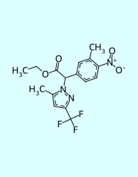 CCOC(=O)C(c1ccc([N+](=O)[O-])c(C)c1)n1nc(C(F)(F)F)cc1C